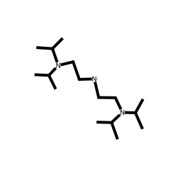 CC(C)N(CC[N]CCN(C(C)C)C(C)C)C(C)C